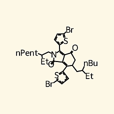 CCCCCC(CC)CN1C(=O)C2=C(c3ccc(Br)s3)C(CC(CC)CCCC)CC(=O)C2=C1c1ccc(Br)s1